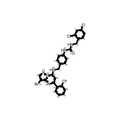 O=C(NCc1ccc(Cl)cc1Cl)Nc1ccc(CNc2cc(-c3ccccc3Cl)nc3c(Br)cnn23)cc1